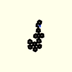 C1=CC(c2c(-c3ccccc3)cc(-c3cccc(-c4c5ccccc5c(-c5ccc(-c6ccc7ccccc7n6)cc5)c5ccccc45)c3)c(-c3ccccc3)c2-c2ccccc2)=CCC1